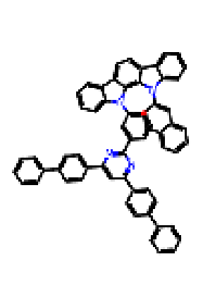 c1ccc(-c2ccc(-c3cc(-c4ccc(-c5ccccc5)cc4)nc(-c4cccc(-n5c6ccccc6c6ccc7c8ccccc8n(-c8ccc9ccccc9c8)c7c65)c4)n3)cc2)cc1